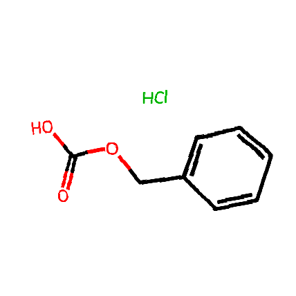 Cl.O=C(O)OCc1ccccc1